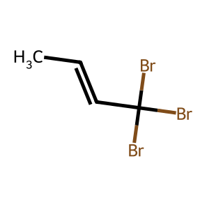 CC=CC(Br)(Br)Br